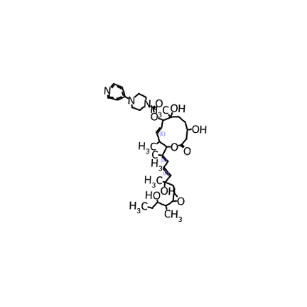 CCC(O)C(C)C1OC1CC(C)(O)/C=C/C=C(\C)C1OC(=O)CC(O)CCC(C)(O)C(OC(=O)N2CCN(c3ccncc3)CC2)/C=C/C1C